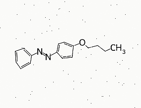 CCCCOc1ccc(N=Nc2ccccc2)cc1